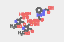 Cc1ncc(COP(=O)(O)O)c(C=O)c1O.Cc1ncc(COP(=O)(O)O)c(C=O)c1O.O=C(O)CN[C@H]1CCCC[C@H]1NCC(=O)O